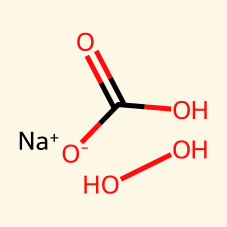 O=C([O-])O.OO.[Na+]